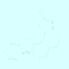 CC(C)=c1ccc2c(c1C1=CC(C(C)(C)C)=CC1)[C]=c1ccccc1=2